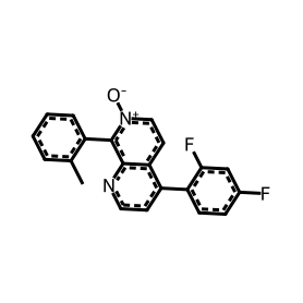 Cc1ccccc1-c1c2nccc(-c3ccc(F)cc3F)c2cc[n+]1[O-]